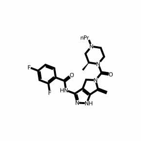 C=C1c2[nH]nc(NC(=O)c3ccc(F)cc3F)c2CN1C(=O)N1CCN(CCC)C[C@@H]1C